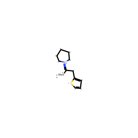 CSC(Cc1cccs1)=[N+]1CCCCC1.[I-]